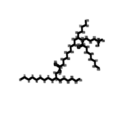 CCCCCCCCCC(CCCCCC)COC(=O)CCCCCCCCC(CCCCC)N(CCCN(C)C)C(=O)CCCCCCC